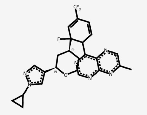 Cc1cnc2c(C3C=CC(C(F)(F)F)=CC3(F)[C@H]3CCO[C@@H](c4cnn(C5CC5)c4)C3)ncnc2n1